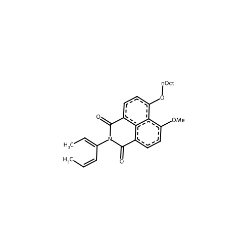 C/C=C\C(=C/C)N1C(=O)c2ccc(OC)c3c(OCCCCCCCC)ccc(c23)C1=O